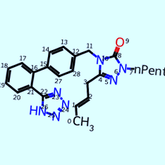 CC=CCc1nn(CCCCC)c(=O)n1Cc1ccc(-c2ccccc2-c2nnn[nH]2)cc1